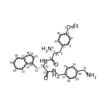 CCOc1ccc(C[C@@H](N)C(=O)N[C@@H](Cc2csc3ccccc23)C(=O)NCc2ccc(CN)cc2)cc1